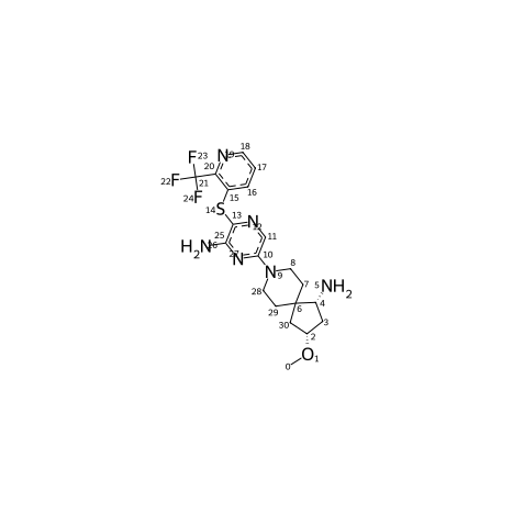 CO[C@H]1C[C@@H](N)C2(CCN(c3cnc(Sc4cccnc4C(F)(F)F)c(N)n3)CC2)C1